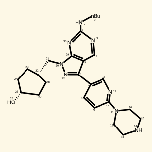 CCCCNc1ncc2c(-c3ccc(N4CCNCC4)nc3)nn(C[C@H]3CC[C@@H](O)CC3)c2n1